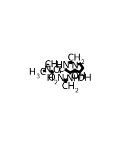 C=C(N)N[C@H]1[C@H](COC(=O)N(C)C)NC(=C)N2CC[C@H](O)[C@]12O